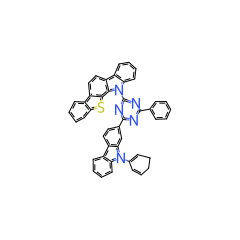 C1=CC(n2c3ccccc3c3ccc(-c4nc(-c5ccccc5)nc(-n5c6ccccc6c6ccc7c8ccccc8sc7c65)n4)cc32)=CCC1